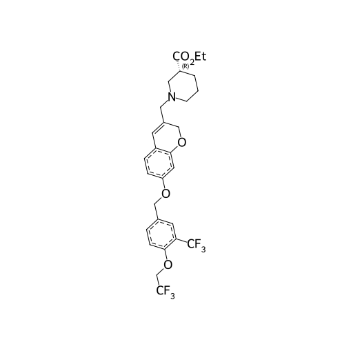 CCOC(=O)[C@@H]1CCCN(CC2=Cc3ccc(OCc4ccc(OCC(F)(F)F)c(C(F)(F)F)c4)cc3OC2)C1